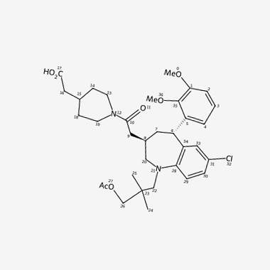 COc1cccc([C@H]2C[C@H](CC(=O)N3CCC(CC(=O)O)CC3)CN(CC(C)(C)COC(C)=O)c3ccc(Cl)cc32)c1OC